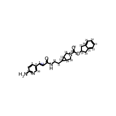 Nc1ccc(/C=C/C(=O)NCCC2C3CN(C(=O)OC4Cc5ccccc5C4)CC23)cn1